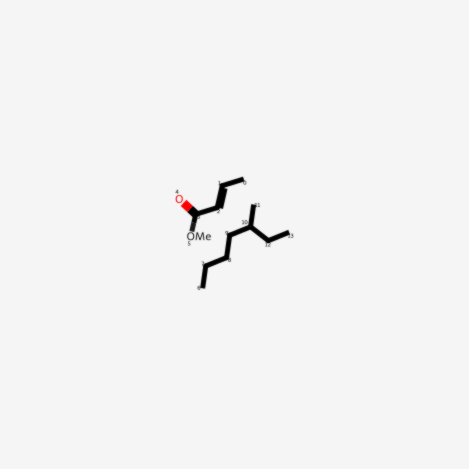 CC=CC(=O)OC.CCCCC(C)CC